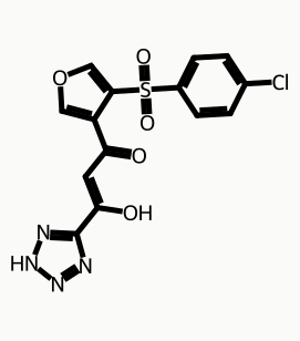 O=C(C=C(O)c1nn[nH]n1)c1cocc1S(=O)(=O)c1ccc(Cl)cc1